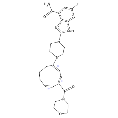 NC(=O)c1cc(F)cc2[nH]c(N3CCN(/C4=C/N=C(C(=O)N5CCOCC5)\C=C/CCC4)CC3)nc12